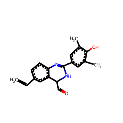 C=Cc1ccc2c(c1)C(C=O)NC(c1cc(C)c(O)c(C)c1)=N2